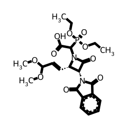 CCOP(=O)(OCC)C(C(=O)O)N1C(=O)[C@H](N2C(=O)c3ccccc3C2=O)[C@@H]1C=CC(OC)OC